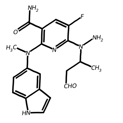 CC(CC=O)N(N)c1nc(N(C)c2ccc3[nH]ccc3c2)c(C(N)=O)cc1F